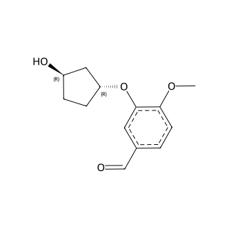 COc1ccc(C=O)cc1O[C@@H]1CC[C@@H](O)C1